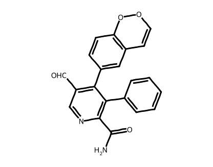 NC(=O)c1ncc(C=O)c(-c2ccc3c(c2)C=COO3)c1-c1ccccc1